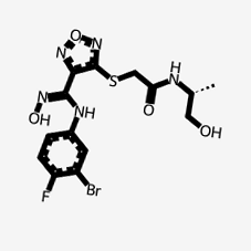 C[C@H](CO)NC(=O)CSc1nonc1/C(=N/O)Nc1ccc(F)c(Br)c1